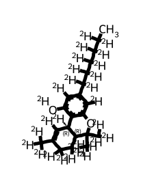 [2H]Oc1c([2H])c(C([2H])([2H])C([2H])([2H])C([2H])([2H])C([2H])([2H])C([2H])([2H])C)c([2H])c2c1[C@]1([2H])C([2H])=C(C([2H])([2H])[2H])C([2H])([2H])C([2H])([2H])[C@@]1([2H])C(C([2H])([2H])[2H])(C([2H])([2H])[2H])O2